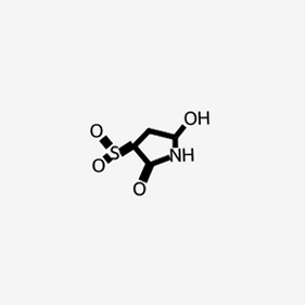 O=C1NC(O)CC1=S(=O)=O